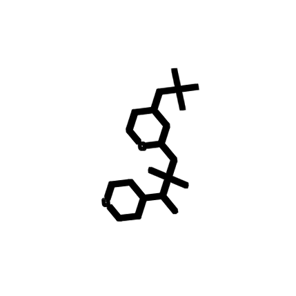 CC(C1CCOCC1)C(C)(C)CC1CC(CC(C)(C)C)CCO1